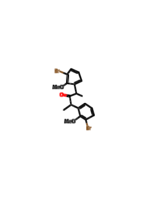 COc1c(Br)cccc1C(C)C(=O)C(C)c1cccc(Br)c1OC